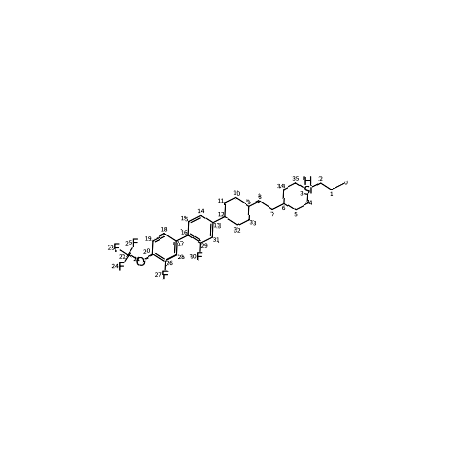 CCC[SiH]1CCC(CCC2CCC(c3ccc(-c4ccc(OC(F)(F)F)c(F)c4)c(F)c3)CC2)CC1